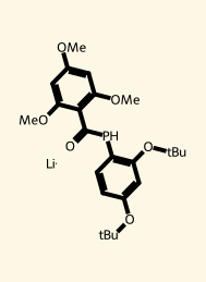 COc1cc(OC)c(C(=O)Pc2ccc(OC(C)(C)C)cc2OC(C)(C)C)c(OC)c1.[Li]